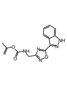 C=C(C)OC(=O)NCc1noc(-c2n[nH]c3ccccc23)n1